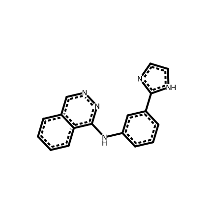 c1cc(Nc2nncc3ccccc23)cc(-c2ncc[nH]2)c1